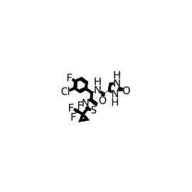 O=C1NC[C@@H](C(=O)N[C@@H](c2ccc(F)c(Cl)c2)c2csc(C3(C(F)(F)F)CC3)n2)N1